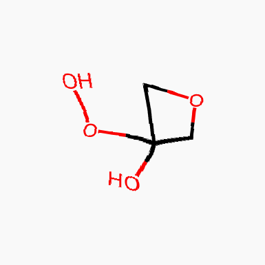 OOC1(O)COC1